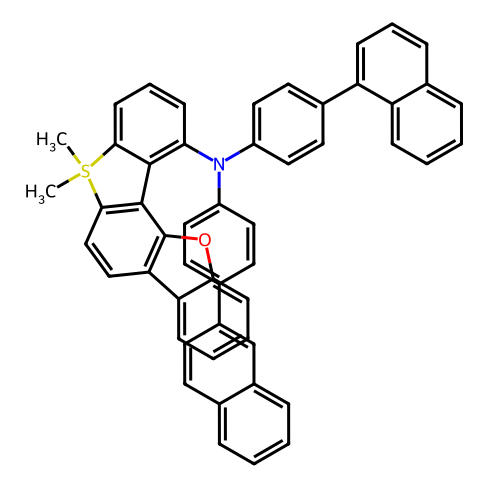 CS1(C)c2cccc(N(c3ccc(-c4ccc5ccccc5c4)cc3)c3ccc(-c4cccc5ccccc45)cc3)c2-c2c1ccc1c2oc2ccccc21